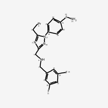 CC(C)Cc1nc(CNCc2cc(F)cc(F)c2)nn1-c1ccc(SN)cc1